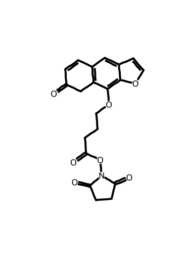 O=C1C=Cc2cc3ccoc3c(OCCCC(=O)ON3C(=O)CCC3=O)c2C1